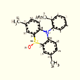 COc1ccccc1N1c2ccc(C)cc2[S+]([O-])c2cc(C)ccc21